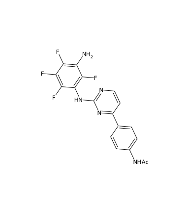 CC(=O)Nc1ccc(-c2ccnc(Nc3c(F)c(N)c(F)c(F)c3F)n2)cc1